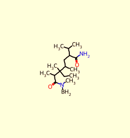 BN(C)C(=O)C(C)C(C)(CC)C(C)CC(C(N)=O)C(C)C